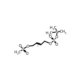 C[Si](C)(C)OS(=O)(=O)OC/C=C/COS(C)(=O)=O